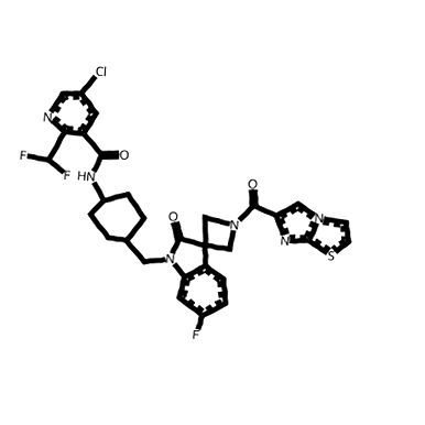 O=C(NC1CCC(CN2C(=O)C3(CN(C(=O)c4cn5ccsc5n4)C3)c3ccc(F)cc32)CC1)c1cc(Cl)cnc1C(F)F